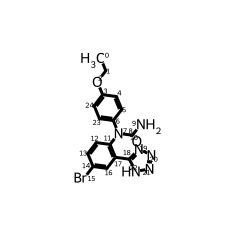 CCOc1ccc(N(C(N)=O)c2ccc(Br)cc2-c2nnn[nH]2)cc1